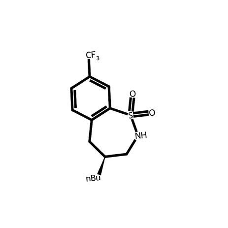 CCCC[C@@H]1CNS(=O)(=O)c2cc(C(F)(F)F)ccc2C1